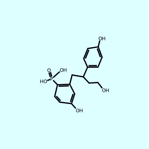 O=P(O)(O)c1ccc(O)cc1CC(CCO)c1ccc(O)cc1